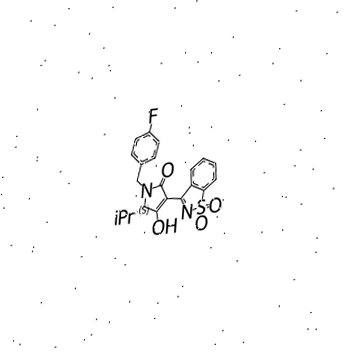 CC(C)[C@H]1C(O)=C(C2=NS(=O)(=O)c3ccccc32)C(=O)N1Cc1ccc(F)cc1